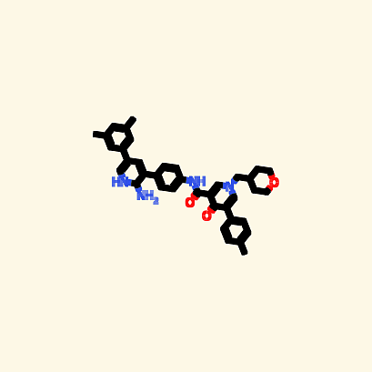 Cc1ccc(-c2cn(CC3CCOCC3)cc(C(=O)Nc3ccc(C4=CC(c5cc(C)cc(C)c5)=CNC4N)cc3)c2=O)cc1